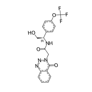 O=C(Cn1nnc2ccccc2c1=O)N[C@@H](CO)c1ccc(OC(F)(F)F)cc1